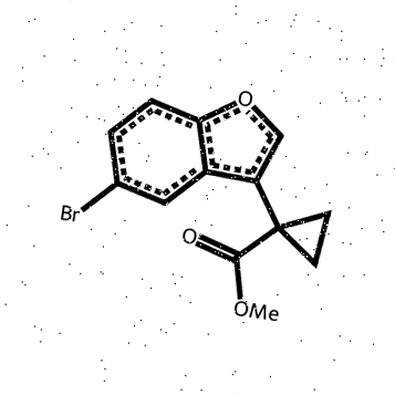 COC(=O)C1(c2coc3ccc(Br)cc23)CC1